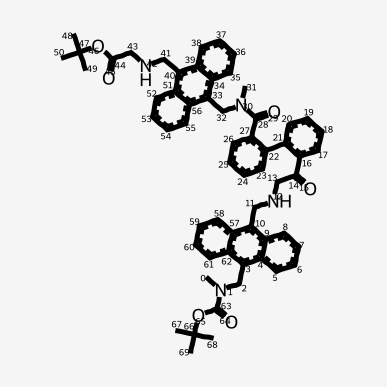 CN(Cc1c2ccccc2c(CNCC(=O)c2ccccc2-c2ccccc2C(=O)N(C)Cc2c3ccccc3c(CNCC(=O)OC(C)(C)C)c3ccccc23)c2ccccc12)C(=O)OC(C)(C)C